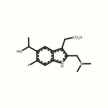 CC(O)c1cc2c(CC(=O)O)c(CN(C)C)[nH]c2cc1F